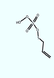 C=CCSOS(=O)(=O)OO